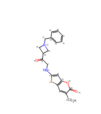 O=C(O)c1cc2sc(NCC(=O)C3CN(Cc4ccccc4)C3)cc2oc1=O